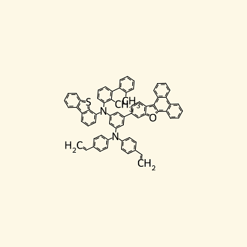 C=Cc1ccc(N(c2ccc(C=C)cc2)c2cc(-c3ccc4c(c3)oc3c5ccccc5c5ccccc5c43)cc(N(c3cccc(-c4ccccc4C)c3C)c3cccc4c3sc3ccccc34)c2)cc1